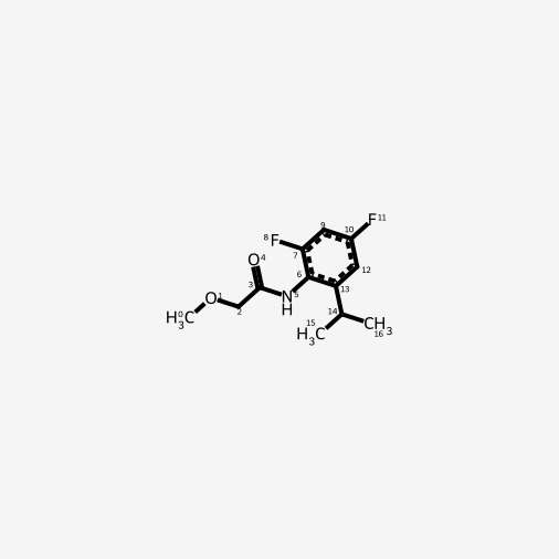 COCC(=O)Nc1c(F)cc(F)cc1C(C)C